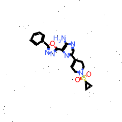 Nc1ncc(C2=CCN(S(=O)(=O)C3CC3)CC2)nc1-c1nnc(-c2ccccc2)o1